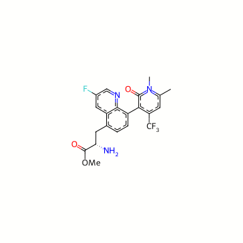 COC(=O)[C@@H](N)Cc1ccc(-c2c(C(F)(F)F)cc(C)n(C)c2=O)c2ncc(F)cc12